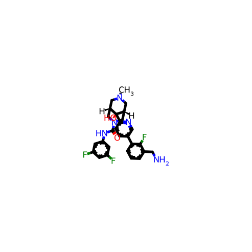 CN1C[C@@H]2CN(C(=O)Nc3cc(F)cc(F)c3)C[C@H](C1)[C@@]2(O)c1ccc(-c2cccc(CN)c2F)cn1